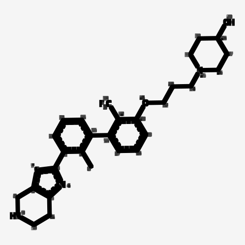 Cc1c(-c2nc3c(s2)CNCC3)cccc1-c1cccc(OCCCN2CCC(O)CC2)c1C(F)(F)F